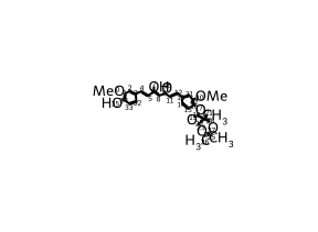 COc1cc(/C=C/C(O)=C/C(=O)/C=C/c2ccc(OC(=O)C3(C)COC(C)(C)OC3)c(OC)c2)ccc1O